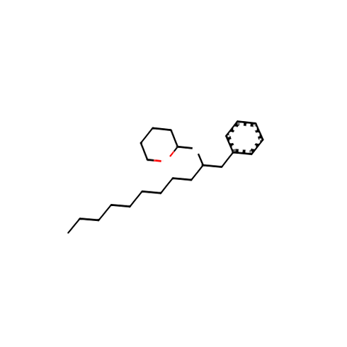 CCCCCCCCCC(Cc1ccccc1)[SiH2]C1CCCCO1